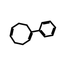 C1=CCCC(c2ccccc2)=CCC1